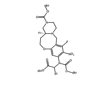 CCC(C(=O)OC)N(C(=O)OC(C)(C)C)c1cc2c(c(F)c1[N+](=O)[O-])CN1CCN(C(=O)OC(C)(C)C)C[C@@H]1CCO2